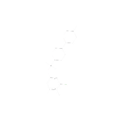 Cc1c(F)cc(OC(F)(F)C2CCC(C3CCC(C)CO3)CO2)cc1F